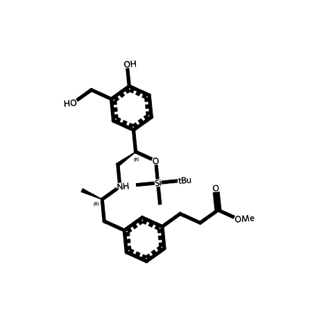 COC(=O)CCc1cccc(C[C@@H](C)NC[C@H](O[Si](C)(C)C(C)(C)C)c2ccc(O)c(CO)c2)c1